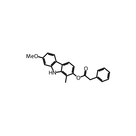 COc1ccc2c(c1)[nH]c1c(C)c(OC(=O)Cc3ccccc3)ccc12